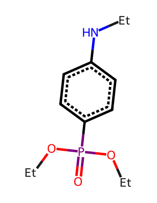 CCNc1ccc(P(=O)(OCC)OCC)cc1